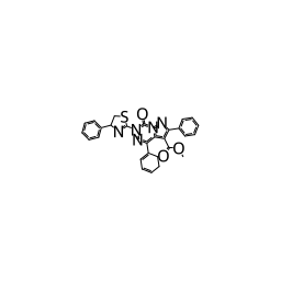 COC(=O)c1c(-c2ccccc2)nn2c(=O)n(C3=NC(c4ccccc4)CS3)nc(C3=CC=CCC3)c12